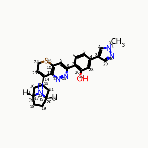 Cn1cc(-c2ccc(-c3cc4c(nn3)C([C@@H]3C[C@H]5CC[C@@H](C3)N5)=CCS4)c(O)c2)cn1